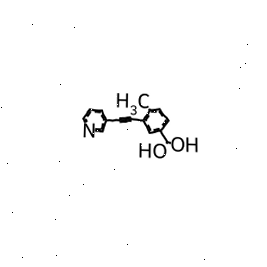 Cc1ccc(C(O)O)cc1C#Cc1cccnc1